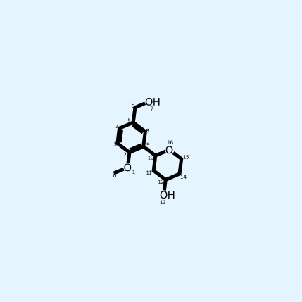 COc1ccc(CO)cc1C1CC(O)CCO1